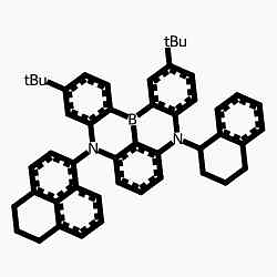 CC(C)(C)c1ccc2c(c1)B1c3ccc(C(C)(C)C)cc3N(c3ccc4c5c(cccc35)CCC4)c3cccc(c31)N2C1CCCc2ccccc21